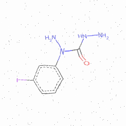 NNC(=O)N(N)c1cccc(I)c1